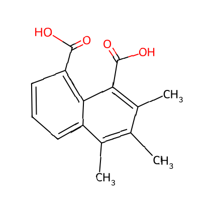 Cc1c(C)c(C(=O)O)c2c(C(=O)O)cccc2c1C